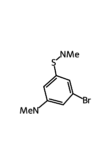 CNSc1cc(Br)cc(NC)c1